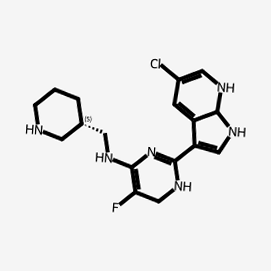 FC1=C(NC[C@H]2CCCNC2)N=C(C2=CNC3NC=C(Cl)C=C23)NC1